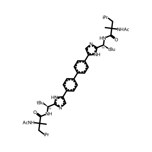 CC(=O)NC(C)(CC(C)C)C(=O)N[C@H](c1ncc(-c2ccc(-c3ccc(-c4cnc([C@@H](NC(=O)C(C)(CC(C)C)NC(C)=O)C(C)(C)C)[nH]4)cc3)cc2)[nH]1)C(C)(C)C